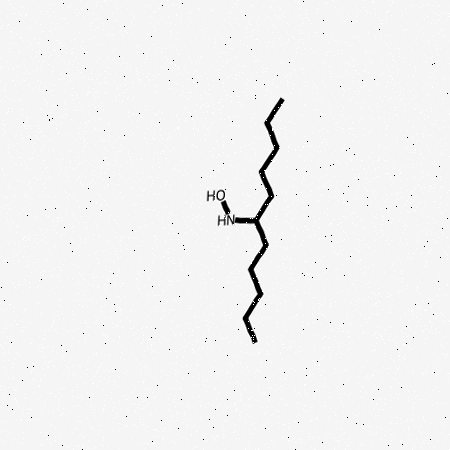 CCCCCC(CCCCC)NO